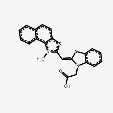 C[n+]1c(/C=C2\Sc3ccccc3N2CC(=O)O)sc2ccc3ccccc3c21